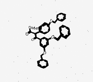 COC(=O)C(C(=O)c1cc(OCc2ccccc2)cc(OCc2ccccc2)c1)c1ccc(OCc2ccccc2)cc1